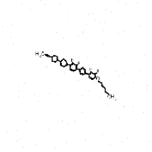 CC#CC1CCC(C2CC=C(c3ccc(-c4ccc(-c5ccc(OCCCCCCC)c(F)c5F)cc4)c(F)c3F)CC2)CC1